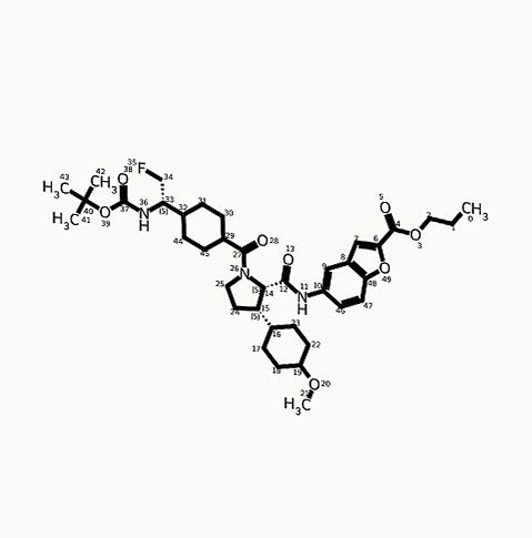 CCCOC(=O)c1cc2cc(NC(=O)[C@@H]3[C@H](C4CCC(OC)CC4)CCN3C(=O)C3CCC([C@@H](CF)NC(=O)OC(C)(C)C)CC3)ccc2o1